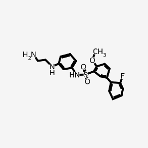 COc1ccc(-c2ccccc2F)cc1S(=O)(=O)Nc1cccc(NCCN)c1